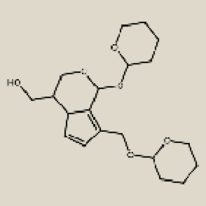 OCC1COC(OC2CCCCO2)C2=C(COC3CCCCO3)C=CC21